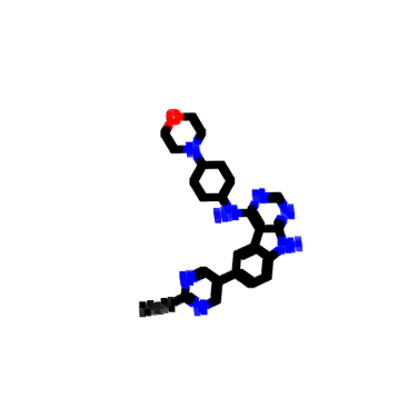 CNc1ncc(-c2ccc3[nH]c4ncnc(NC5CCC(N6CCOCC6)CC5)c4c3c2)cn1